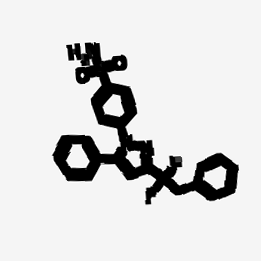 NS(=O)(=O)c1ccc(-n2nc(C(F)(F)Cc3ccccc3)cc2-c2ccccc2)cc1